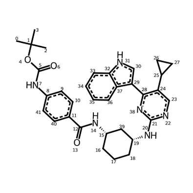 CC(C)(C)OC(=O)Nc1ccc(C(=O)N[C@H]2CCC[C@@H](Nc3ncc(C4CC4)c(-c4c[nH]c5ccccc45)n3)C2)cc1